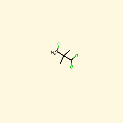 CC(C)([SiH2]Cl)C(Cl)Cl